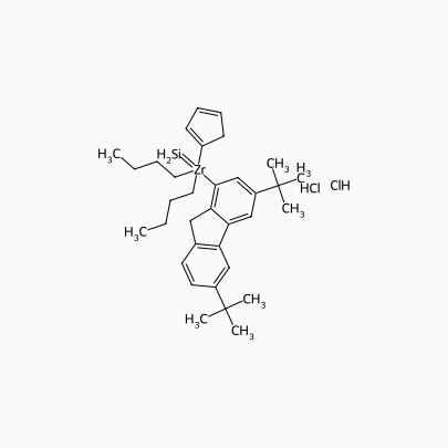 CCC[CH2][Zr](=[SiH2])([CH2]CCC)([C]1=CC=CC1)[c]1cc(C(C)(C)C)cc2c1Cc1ccc(C(C)(C)C)cc1-2.Cl.Cl